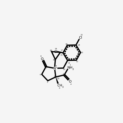 C[C@@]1(C(N)=O)CCC(=O)[N+]1(Cc1ccc(Cl)cc1Cl)C1CC1